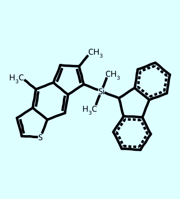 CC1=C([Si](C)(C)C2c3ccccc3-c3ccccc32)C2=CC3SC=CC3=C(C)C2=C1